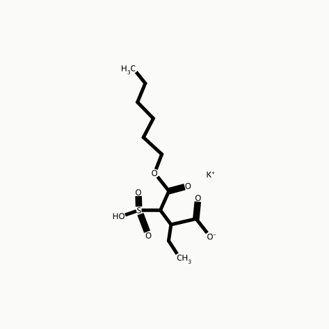 CCCCCCOC(=O)C(C(CC)C(=O)[O-])S(=O)(=O)O.[K+]